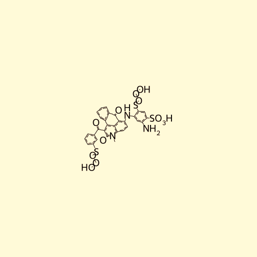 Cn1c(=O)c(C(=O)c2cccc(SOOO)c2)c2c3c(c(Nc4cc(N)c(S(=O)(=O)O)cc4SOOO)ccc31)C(=O)c1ccccc1-2